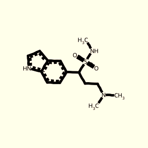 CNS(=O)(=O)C(CCN(C)C)c1ccc2[nH]ccc2c1